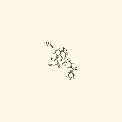 CC#Cc1cc(C)c(C2=C(OC(=O)OC)CC3(CCN(C(=O)c4ncccn4)CC3)CC2=O)c(C)c1